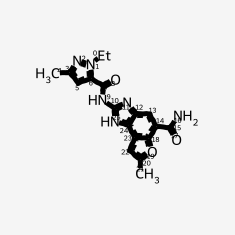 CCn1nc(C)cc1C(=O)Nc1nc2cc(C(N)=O)c3oc(C)cc3c2[nH]1